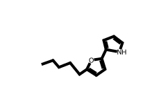 CCCCCc1ccc(-c2ccc[nH]2)o1